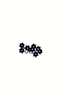 CC1(C)c2cc(-n3c4ccccc4c4ccccc43)ccc2-c2c1cc(N(c1ccccc1)c1cccc3ccccc13)c1ccccc21